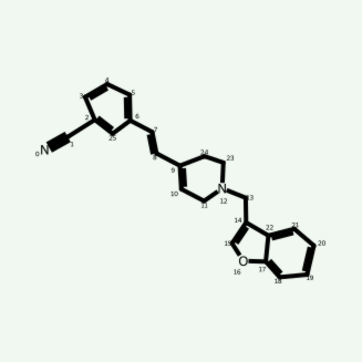 N#Cc1cccc(/C=C/C2=CCN(Cc3coc4ccccc34)CC2)c1